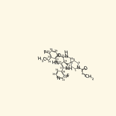 C=CC(=O)N1CCC2(CC1)CNC(=O)c1c2[nH]c(-c2ccncc2F)c1Nc1cccc(F)c1CC